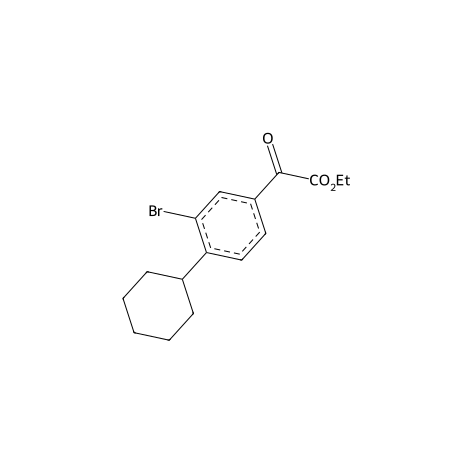 CCOC(=O)C(=O)c1ccc(C2CCCCC2)c(Br)c1